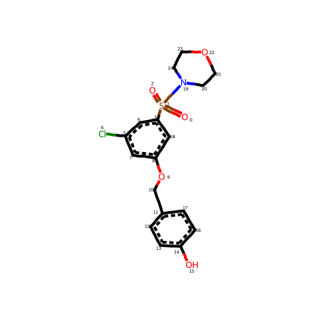 O=S(=O)(c1cc(Cl)cc(OCc2ccc(O)cc2)c1)N1CCOCC1